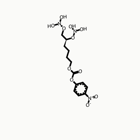 O=C(OCCCC[C@@H](CON(O)O)ON(O)O)Oc1ccc([N+](=O)[O-])cc1